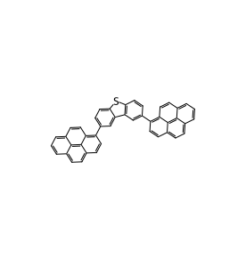 c1cc2ccc3ccc(-c4ccc5sc6ccc(-c7ccc8ccc9cccc%10ccc7c8c9%10)cc6c5c4)c4ccc(c1)c2c34